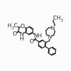 CCCN1CCCN(Cc2cc(C(=O)Nc3ccc4c(c3)NC(=O)C(C)O4)ccc2-c2ccccc2)CC1